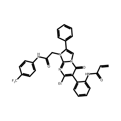 C=CC(=O)Nc1ccccc1-c1c(CC)nc2n(CC(=O)Nc3ccc(C(F)(F)F)cc3)c(-c3ccccc3)cn2c1=O